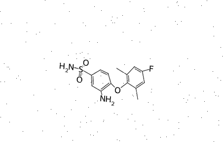 Cc1cc(F)cc(C)c1Oc1ccc(S(N)(=O)=O)cc1N